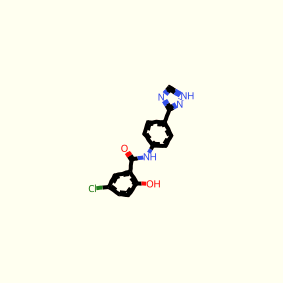 O=C(Nc1ccc(-c2nc[nH]n2)cc1)c1cc(Cl)ccc1O